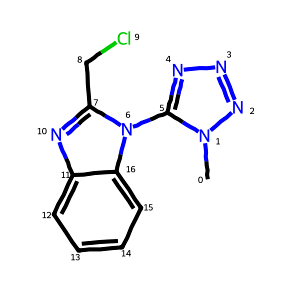 Cn1nnnc1-n1c(CCl)nc2ccccc21